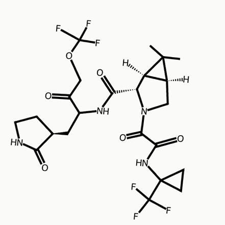 CC1(C)[C@@H]2[C@@H](C(=O)NC(C[C@@H]3CCNC3=O)C(=O)COC(F)(F)F)N(C(=O)C(=O)NC3(C(F)(F)F)CC3)C[C@@H]21